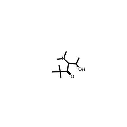 CC(O)C(C(=O)C(C)(C)C)N(C)C